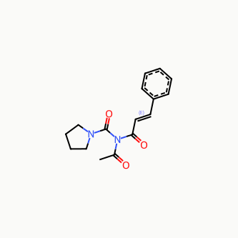 CC(=O)N(C(=O)/C=C/c1ccccc1)C(=O)N1CCCC1